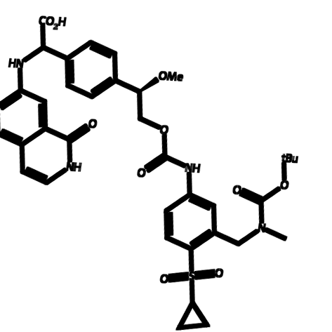 CO[C@@H](COC(=O)Nc1ccc(S(=O)(=O)C2CC2)c(CN(C)C(=O)OC(C)(C)C)c1)c1ccc(C(Nc2ccc3cc[nH]c(=O)c3c2)C(=O)O)cc1